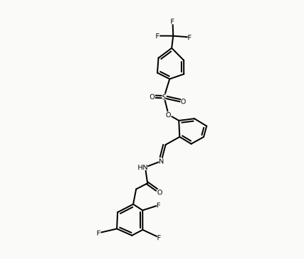 O=C(Cc1cc(F)cc(F)c1F)N/N=C/c1ccccc1OS(=O)(=O)c1ccc(C(F)(F)F)cc1